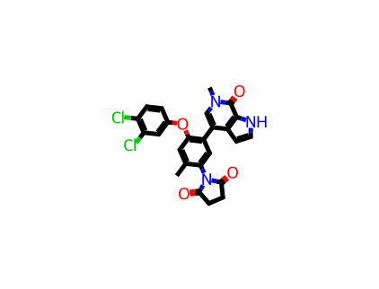 Cc1cc(Oc2ccc(Cl)c(Cl)c2)c(-c2cn(C)c(=O)c3[nH]ccc23)cc1N1C(=O)CCC1=O